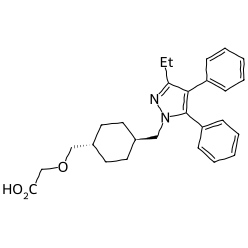 CCc1nn(C[C@H]2CC[C@H](COCC(=O)O)CC2)c(-c2ccccc2)c1-c1ccccc1